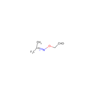 C/C(=N\OC[C]=O)C(F)(F)F